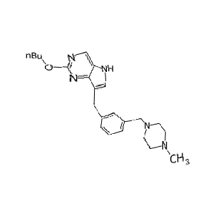 CCCCOc1ncc2[nH]cc(Cc3cccc(CN4CCN(C)CC4)c3)c2n1